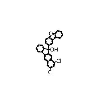 OC1(c2ccc3oc4ccccc4c3c2)c2ccccc2-c2cc3cc(Cl)cc(Cl)c3cc21